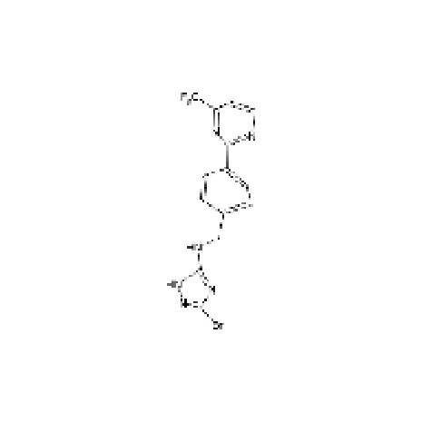 FC(F)(F)c1ccnc(-c2ccc(CNc3nc(Br)n[nH]3)cc2)n1